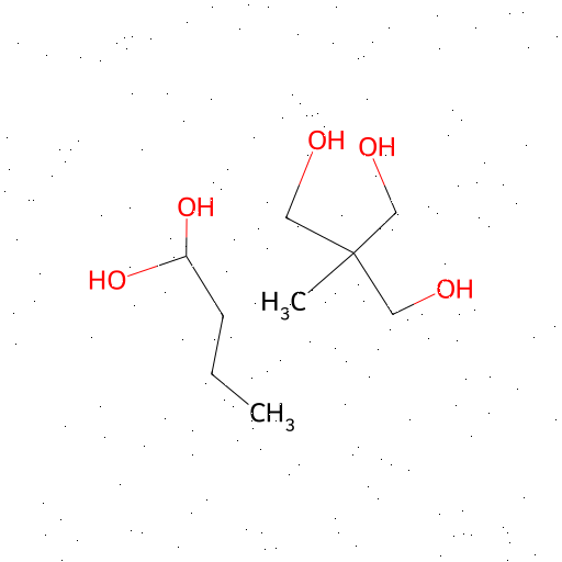 CC(CO)(CO)CO.CCCC(O)O